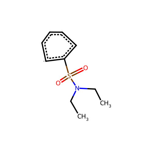 CCN(CC)S(=O)(=O)c1[c]cccc1